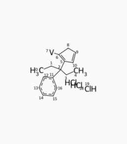 CCC(CC)(C1=[C]([V])CC=C1)c1ccccc1.Cl.Cl.Cl